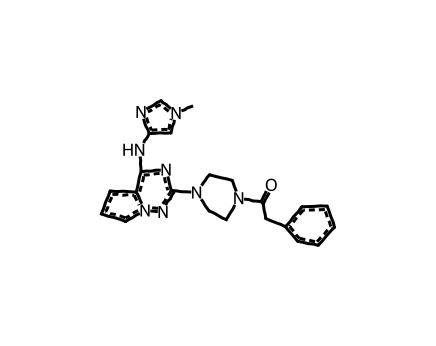 Cn1cnc(Nc2nc(N3CCN(C(=O)Cc4ccccc4)CC3)nn3cccc23)c1